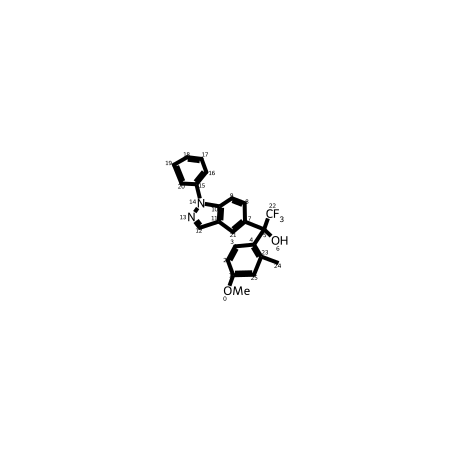 COc1ccc(C(O)(c2ccc3c(cnn3-c3ccccc3)c2)C(F)(F)F)c(C)c1